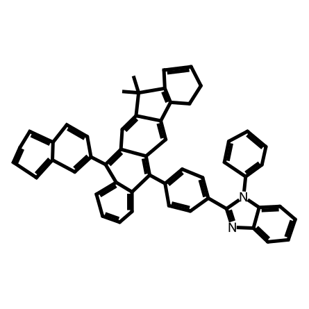 CC1(C)C2=C(CCC=C2)c2cc3c(-c4ccc(-c5nc6ccccc6n5-c5ccccc5)cc4)c4ccccc4c(-c4ccc5ccccc5c4)c3cc21